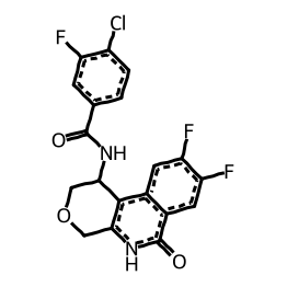 O=C(NC1COCc2[nH]c(=O)c3cc(F)c(F)cc3c21)c1ccc(Cl)c(F)c1